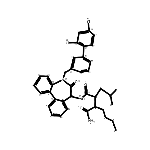 CCCCC(C(N)=O)C(CC(C)C)C(=O)NC1C(=O)N(Cc2cccc(-c3ccc(Cl)cc3Cl)c2)c2ccccc2-c2ccccc21